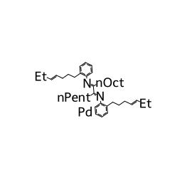 CC/C=C/CCCc1ccccc1/N=C(CCCCC)/C(CCCCCCCC)=N/c1ccccc1CCC/C=C/CC.[Pd]